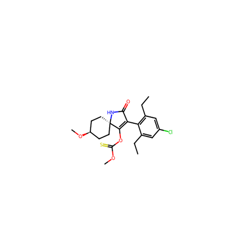 CCc1cc(Cl)cc(CC)c1C1=C(OC(=S)OC)[C@]2(CC[C@H](OC)CC2)NC1=O